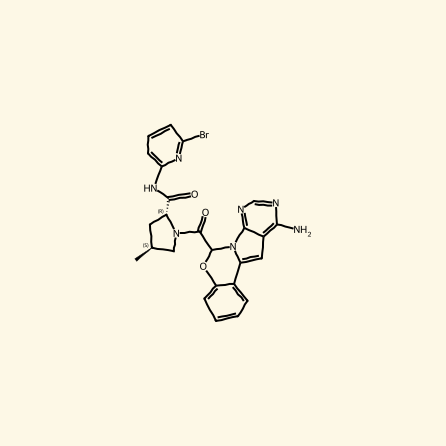 C[C@H]1C[C@H](C(=O)Nc2cccc(Br)n2)N(C(=O)C2Oc3ccccc3-c3cc4c(N)ncnc4n32)C1